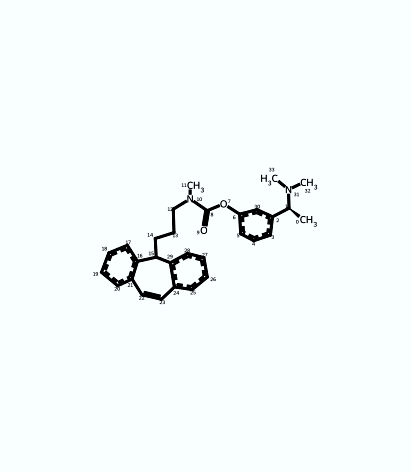 C[C@@H](c1cccc(OC(=O)N(C)CCCC2c3ccccc3C=Cc3ccccc32)c1)N(C)C